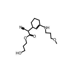 COCCCNC1=CC(C(C#N)C(=O)OCCCO)CCC1